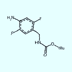 CC(C)(C)OC(=O)NCc1cc(F)c(N)cc1F